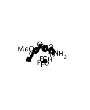 COc1cc(C(=O)N2CCC(c3cnc(N)cc3OC)CC2)ccc1OCC1CCC1.O=C(O)C(F)(F)F